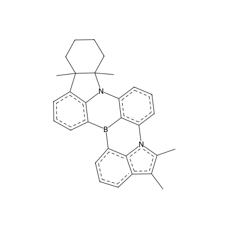 Cc1c(C)n2c3c(cccc13)B1c3cccc4c3N(c3cccc-2c31)C1(C)CCCCC41C